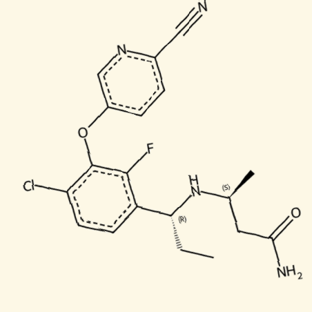 CC[C@@H](N[C@@H](C)CC(N)=O)c1ccc(Cl)c(Oc2ccc(C#N)nc2)c1F